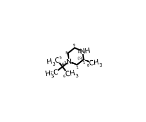 C[C@H]1CN(C(C)(C)C)CCN1